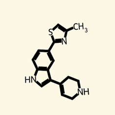 Cc1csc(-c2ccc3[nH]cc(C4=CCNCC4)c3c2)n1